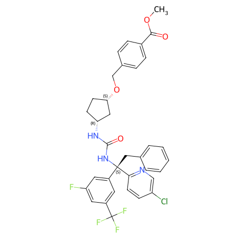 COC(=O)c1ccc(CO[C@H]2CC[C@@H](NC(=O)N[C@@](Cc3ccccc3)(c3cc(F)cc(C(F)(F)F)c3)c3ccc(Cl)cn3)C2)cc1